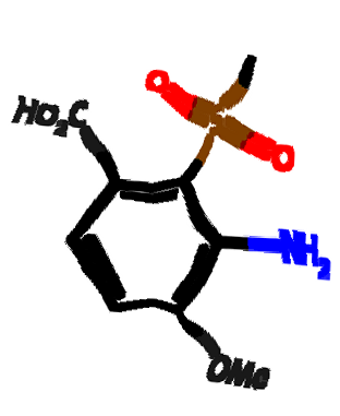 COc1ccc(C(=O)O)c(S(C)(=O)=O)c1N